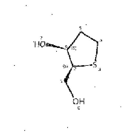 OC[C@@H]1SCC[C@@H]1O